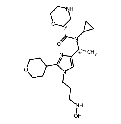 C[C@H](c1cn(CCCNO)c(C2CCOCC2)n1)N(C(=O)[C@H]1CNCCO1)C1CC1